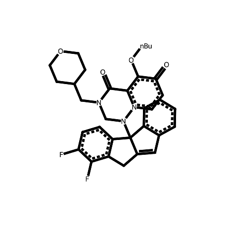 CCCCOc1c2n(ccc1=O)N(C13C(=Cc4ccccc41)Cc1c3ccc(F)c1F)CN(CC1CCOCC1)C2=O